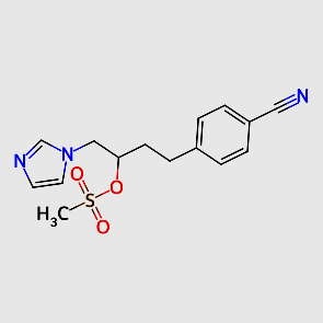 CS(=O)(=O)OC(CCc1ccc(C#N)cc1)Cn1ccnc1